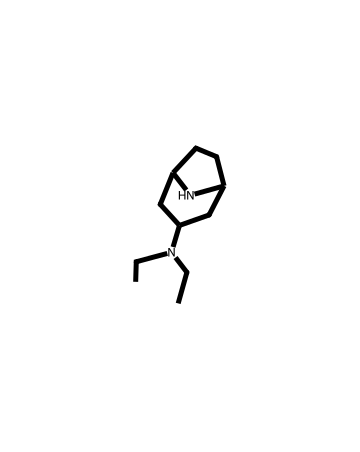 CCN(CC)C1CC2CCC(C1)N2